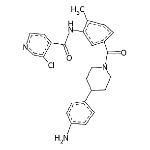 Cc1ccc(C(=O)N2CCC(c3ccc(N)cc3)CC2)cc1NC(=O)c1ccncc1Cl